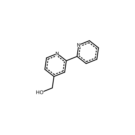 OCc1ccnc(-c2ccccn2)c1